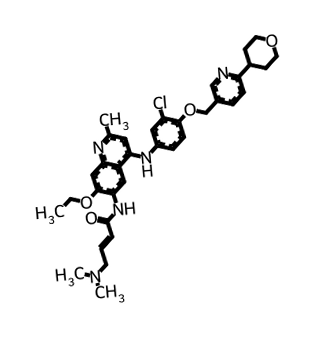 CCOc1cc2nc(C)cc(Nc3ccc(OCc4ccc(C5CCOCC5)nc4)c(Cl)c3)c2cc1NC(=O)/C=C/CN(C)C